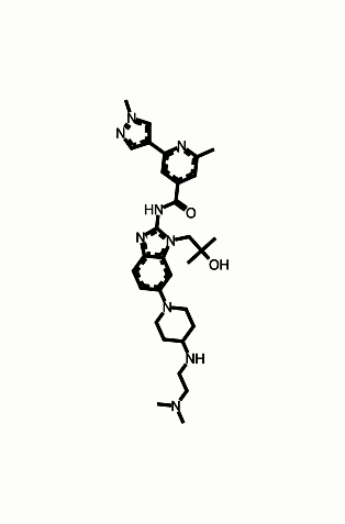 Cc1cc(C(=O)Nc2nc3ccc(N4CCC(NCCN(C)C)CC4)cc3n2CC(C)(C)O)cc(-c2cnn(C)c2)n1